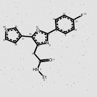 CCNC(=O)Cc1nc(-c2ccc(F)cc2)oc1-c1ccsc1